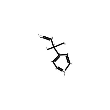 CC(C)([C]=O)c1ccncc1